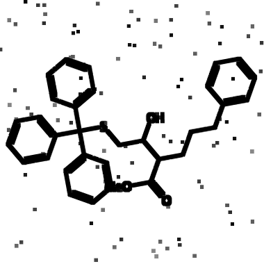 COC(=O)C(CCCc1ccccc1)C(O)CSC(c1ccccc1)(c1ccccc1)c1ccccc1